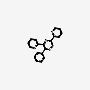 c1ccc(-c2nnc(-c3ccccn3)nc2-c2ccccn2)cc1